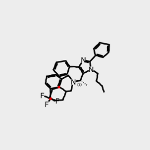 CCCCn1c(-c2ccccc2)nc(-c2ccccc2)c1[C@H](C)N(Cc1cccc(C(F)(F)F)c1)CC1CCCCC1